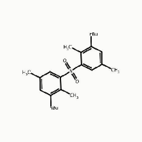 CCCCc1cc(C)cc(S(=O)(=O)c2cc(C)cc(CCCC)c2C)c1C